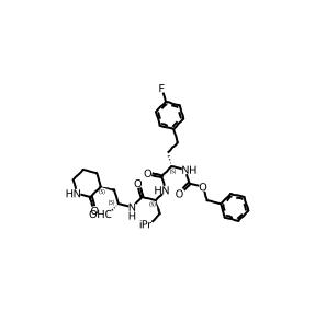 CC(C)C[C@H](NC(=O)[C@H](CCc1ccc(F)cc1)NC(=O)OCc1ccccc1)C(=O)N[C@H](C=O)C[C@@H]1CCCNC1=O